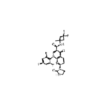 CC1(NC(=O)c2cn(-c3c(F)cc(F)cc3F)c3nc(N4CCNC4=O)ccc3c2=O)CC(F)(F)C1